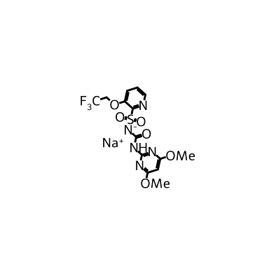 COc1cc(OC)nc(NC(=O)[N-]S(=O)(=O)c2ncccc2OCC(F)(F)F)n1.[Na+]